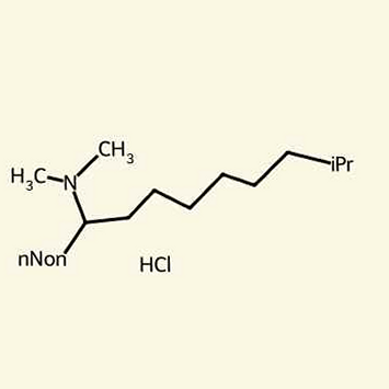 CCCCCCCCCC(CCCCCCC(C)C)N(C)C.Cl